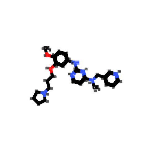 COc1ccc(Nc2nccc(N(C)Cc3cccnc3)n2)cc1OCCCN1CCCC1